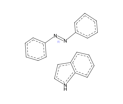 c1ccc(/N=N/c2ccccc2)cc1.c1ccc2[nH]ccc2c1